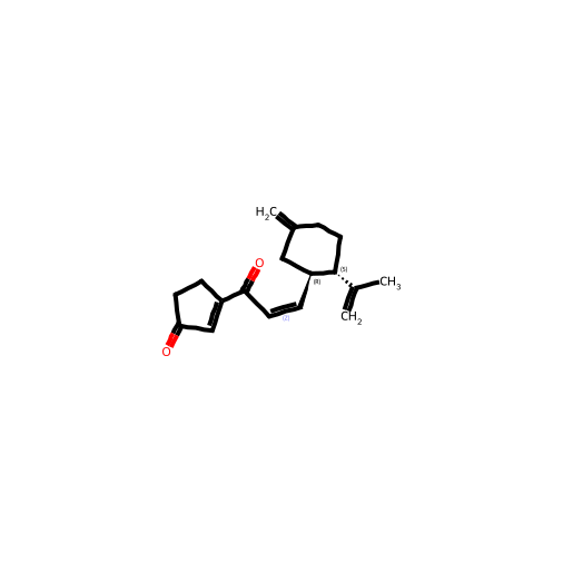 C=C1CC[C@H](C(=C)C)[C@@H](/C=C\C(=O)C2=CC(=O)CC2)C1